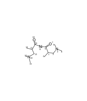 CC(CN(C)C)[C](=O)[Ni][C](=O)C(C)CN(C)C